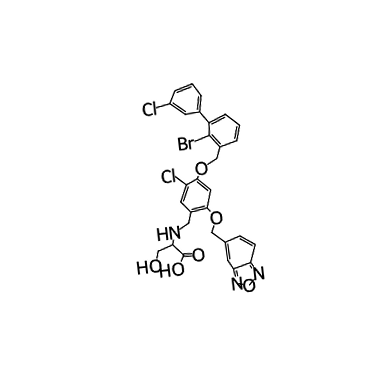 O=C(O)C(CO)NCc1cc(Cl)c(OCc2cccc(-c3cccc(Cl)c3)c2Br)cc1OCc1ccc2nonc2c1